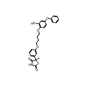 CCCc1cc(Oc2ccccc2)ccc1OCCCCOc1cccc(C2(C)SC(=O)NC2=O)c1